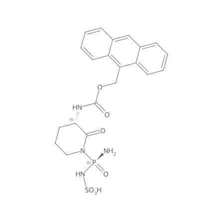 N[P@@](=O)(NS(=O)(=O)O)N1CCC[C@H](NC(=O)OCc2c3ccccc3cc3ccccc23)C1=O